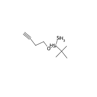 C#CCCO[SiH]([SiH3])C(C)(C)C